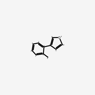 Cc1ccccc1-c1[c]occ1